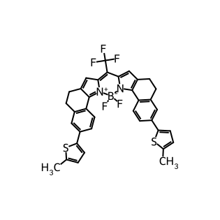 Cc1ccc(-c2ccc3c(c2)CCC2=CC4=C(C(F)(F)F)c5cc6c(n5[B-](F)(F)[N+]4=C23)-c2ccc(-c3ccc(C)s3)cc2CC6)s1